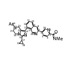 CNC(=O)c1ccc(-c2cc3cccc(-c4nc(C5CC5)n5c4CN(C(C)=O)CC5)c3cn2)cn1